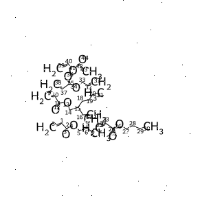 C=CC(=O)OCC(C)C.C=CC(=O)OCC(CC)CCCC.C=CC(=O)OCCCC.C=CCOC(=O)C=C.C=COC(C)=O